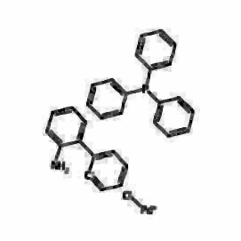 Nc1ccccc1-c1[c-]cccc1.[Cl][Pd+].c1ccc(P(c2ccccc2)c2ccccc2)cc1